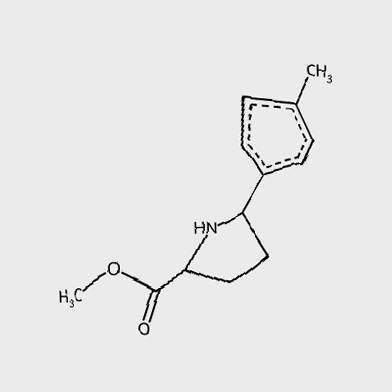 COC(=O)C1CCC(c2ccc(C)cc2)N1